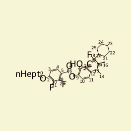 CCCCCCCOc1ccc(C(=O)Oc2ccc(C(C)[C@H](C)[C@](F)(C(=O)O)C3CCCCC3)cc2)c(F)c1F